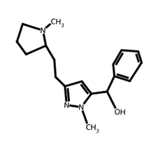 CN1CCCC1CCc1cc(C(O)c2ccccc2)n(C)n1